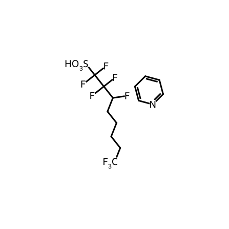 O=S(=O)(O)C(F)(F)C(F)(F)C(F)CCCCC(F)(F)F.c1ccncc1